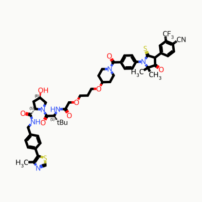 Cc1ncsc1-c1ccc(CNC(=O)[C@@H]2C[C@@H](O)CN2C(=O)[C@@H](NC(=O)COCCCOC2CCN(C(=O)c3ccc(N4C(=S)C(c5ccc(C#N)c(C(F)(F)F)c5)C(=O)C4(C)C)cc3)CC2)C(C)(C)C)cc1